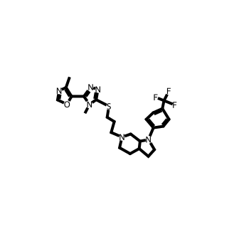 Cc1ncoc1-c1nnc(SCCCN2CCC3CCN(c4ccc(C(F)(F)F)cc4)C3C2)n1C